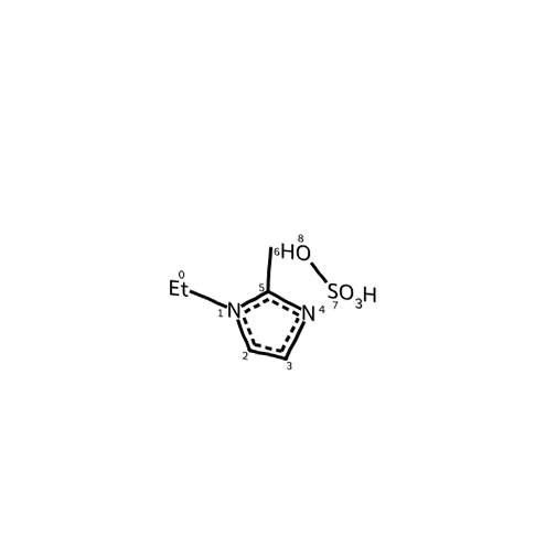 CCn1ccnc1C.O=S(=O)(O)O